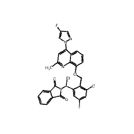 CCC(c1cc(F)cc(Cl)c1COc1cccc2c(-n3cc(F)cn3)cc(C)nc12)N1C(=O)c2ccccc2C1=O